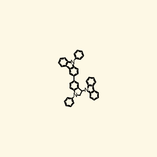 c1ccc(N2CC(n3c4ccccc4c4ccccc43)c3cc(-c4ccc5c(c4)c4ccccc4n5-c4ccccc4)ccc32)cc1